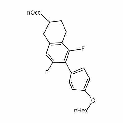 CCCCCCCCC1CCc2c(cc(F)c(-c3ccc(OCCCCCC)cc3)c2F)C1